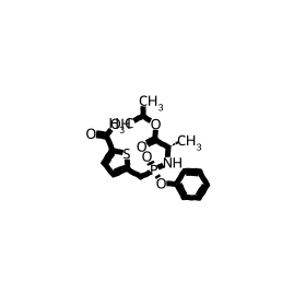 CC(C)OC(=O)[C@H](C)NP(=O)(Cc1ccc(C(=O)O)s1)Oc1ccccc1